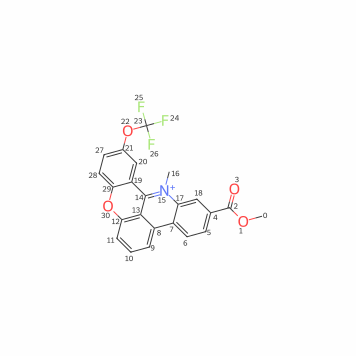 COC(=O)c1ccc2c3cccc4c3c([n+](C)c2c1)-c1cc(OC(F)(F)F)ccc1O4